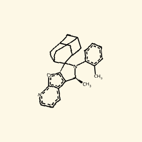 Cc1ccccc1N1[C@@H](C)c2c(oc3ncccc23)C12C1CC3CC(C1)CC2C3